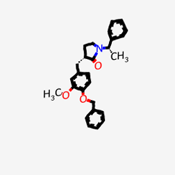 COc1cc(C[C@@H]2CCN([C@@H](C)c3ccccc3)C2=O)ccc1OCc1ccccc1